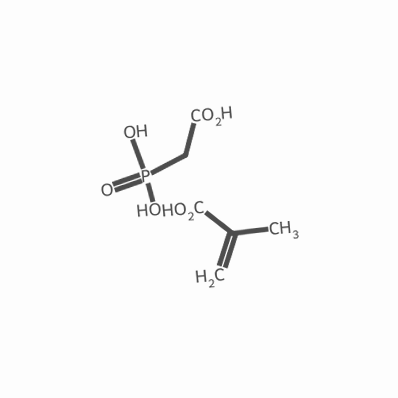 C=C(C)C(=O)O.O=C(O)CP(=O)(O)O